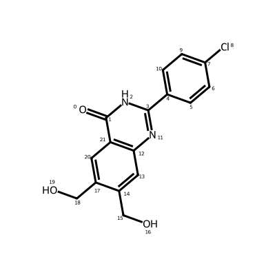 O=c1[nH]c(-c2ccc(Cl)cc2)nc2cc(CO)c(CO)cc12